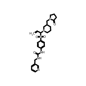 C=CC(N1CCCC(CN2CCCC2=O)C1)S(=O)(=O)c1ccc(NC(=O)NCc2cccnc2)cc1